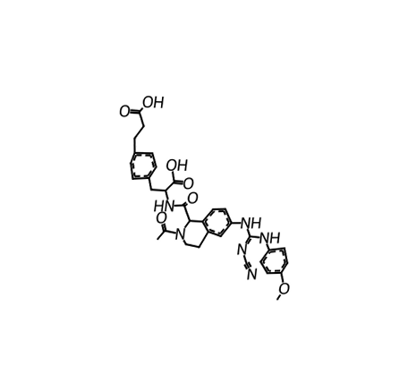 COc1ccc(NC(=NC#N)Nc2ccc3c(c2)CCN(C(C)=O)C3C(=O)NC(Cc2ccc(CCC(=O)O)cc2)C(=O)O)cc1